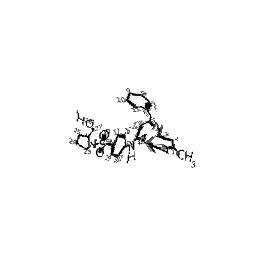 Cc1cc2nc(-c3ccccc3)cc(Nc3ccc(S(=O)(=O)N4CCC[C@H]4CO)cc3)n2n1